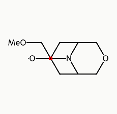 COCCN1C2COCC1CC([O])C2